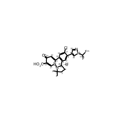 CC1(C)CC[C@@H]2c3cc(-c4cnn(C(F)F)c4)c(Cl)cc3-c3cc(=O)c(C(=O)O)cn3N21